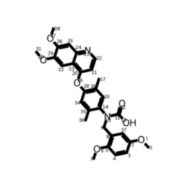 COc1ccc(OC)c(CN(C(=O)O)c2cc(C)c(Oc3ccnc4cc(OC)c(OC)cc34)cc2C)c1